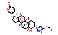 Cc1cn([C@H]2CC[C@]3(C)[C@H]4CC[C@]5(C)[C@@H](c6ccc(=O)oc6)CC[C@]5(O)[C@@H]4CC[C@]3(O)C2)cn1